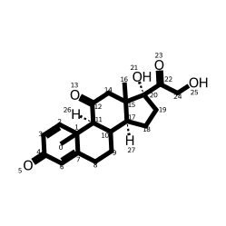 CC12C=CC(=O)C=C1CCC1[C@@H]2C(=O)CC2(C)[C@H]1CC[C@]2(O)C(=O)CO